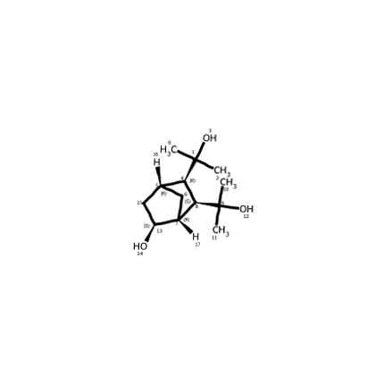 CC(C)(O)[C@@H]1[C@@H]2C[C@H]([C@@H]1C(C)(C)O)[C@@H](O)C2